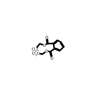 O=C(OCC(Cl)(Cl)Cl)c1ccccc1C(=O)OCC(Cl)(Cl)Cl